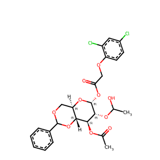 CC(=O)O[C@@H]1[C@@H](OC(C)O)[C@@H](OC(=O)COc2ccc(Cl)cc2Cl)O[C@@H]2COC(c3ccccc3)O[C@@H]12